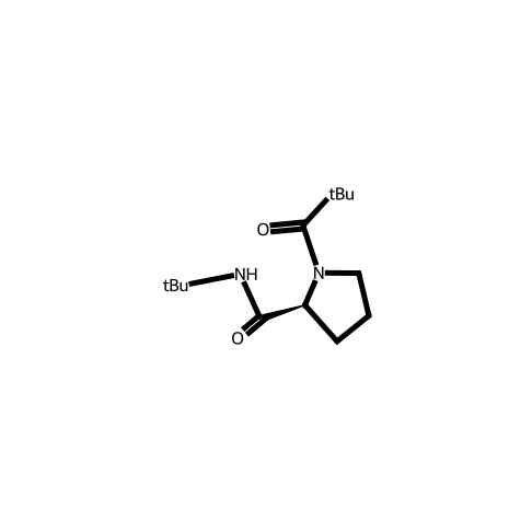 CC(C)(C)NC(=O)[C@@H]1CCCN1C(=O)C(C)(C)C